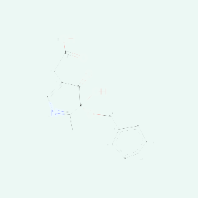 CC1=NC=C(CC(=O)O)C(=O)C1(O)OCc1ccccc1